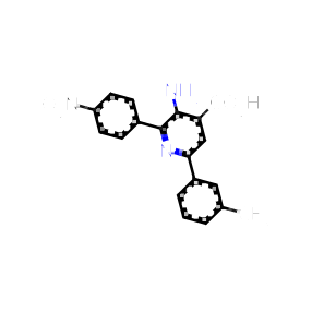 Nc1c(C(=O)O)cc(-c2cccc(C(F)(F)F)c2)nc1-c1ccc([N+](=O)[O-])cc1